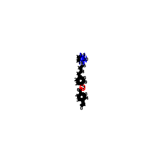 C=Cc1ccc(COc2ccc(CCCCn3ccnn3)cc2)cc1